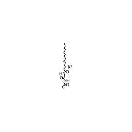 CCCCCCCCCCCCCC(=O)NCC(=O)NCC(=O)[O-].[K+]